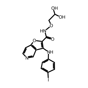 O=C(NOCC(O)O)c1oc2ccncc2c1Nc1ccc(I)cc1